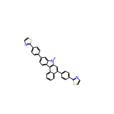 Cn1c2cc(-c3ccc(-c4nccs4)cc3)ccc2c2c3ccccc3c(-c3ccc(-c4nccs4)cc3)cc21